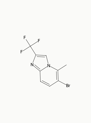 Cc1c(Br)ccc2nc(C(F)(F)F)cn12